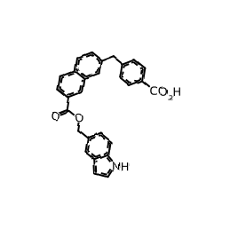 O=C(O)c1ccc(Cc2ccc3ccc(C(=O)OCc4ccc5[nH]ccc5c4)cc3c2)cc1